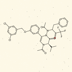 CC(=O)N1C=C(c2cccc(OCc3cc(Cl)cc(Cl)c3)c2)N(N(C(C)=O)C(Cc2ccccc2)C(=O)C(F)(F)F)C(=O)[C@H]1C(C)C